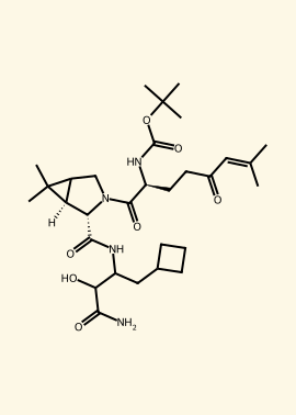 CC(C)=CC(=O)CC[C@H](NC(=O)OC(C)(C)C)C(=O)N1CC2[C@@H]([C@H]1C(=O)NC(CC1CCC1)C(O)C(N)=O)C2(C)C